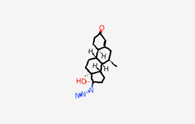 C[C@@H]1CC2=CC(=O)CC[C@@H]2[C@H]2CC[C@@]3(C)[C@@H](CC[C@@]3(O)N=[N+]=[N-])[C@@H]21